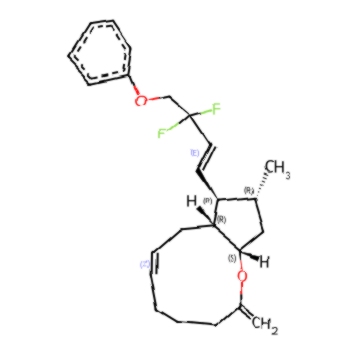 C=C1CCC/C=C\C[C@@H]2[C@@H](/C=C/C(F)(F)COc3ccccc3)[C@H](C)C[C@@H]2O1